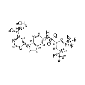 CNC(=O)c1cc(-n2ccc3cc(NS(=O)(=O)c4cc(C(F)(F)F)cc(C(F)(F)F)c4)ccc32)ccn1